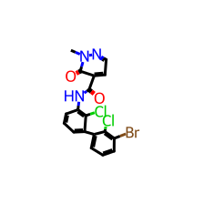 Cn1nccc(C(=O)Nc2cccc(-c3cccc(Br)c3Cl)c2Cl)c1=O